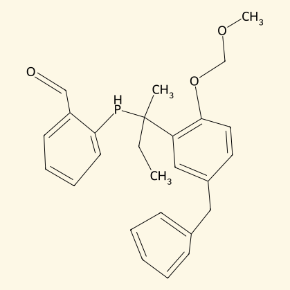 CCC(C)(Pc1ccccc1C=O)c1cc(Cc2ccccc2)ccc1OCOC